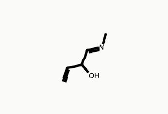 C=CC(O)C=NC